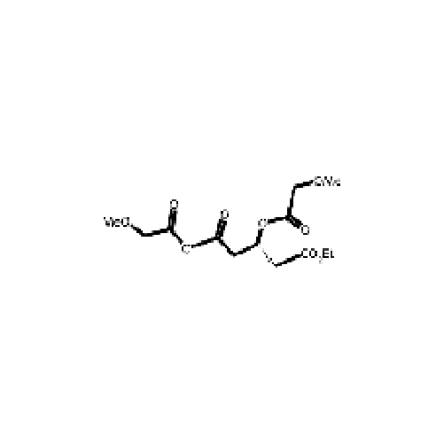 CCOC(=O)C[C@H](CC(=O)OC(=O)COC)OC(=O)COC